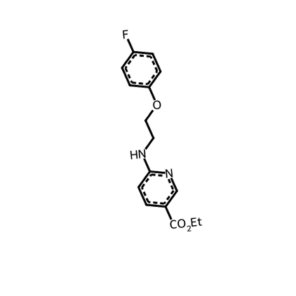 CCOC(=O)c1ccc(NCCOc2ccc(F)cc2)nc1